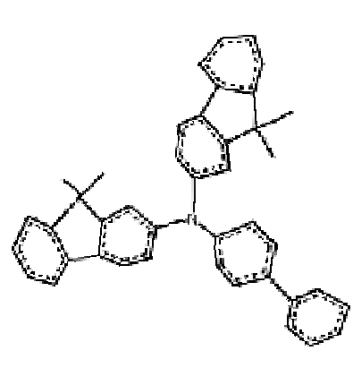 CC1(C)c2ccccc2-c2ccc(N(c3ccc(-c4ccccc4)cc3)c3ccc4c(c3)C(C)(C)c3ccccc3-4)cc21